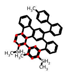 C[SiH2]c1ccc(-c2ccccc2-c2cc(-c3ccccc3-c3ccc(C)cc3)c(-c3ccccc3-c3ccc(C)cc3)cc2-c2ccccc2-c2ccc([SiH2]C)cc2)cc1